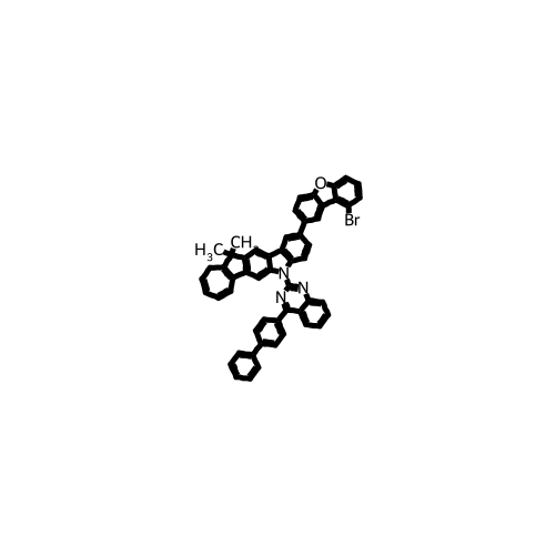 CC1(C)C2=C(C=CC=CC2)c2cc3c(cc21)c1cc(-c2ccc4oc5cccc(Br)c5c4c2)ccc1n3-c1nc(-c2ccc(-c3ccccc3)cc2)c2ccccc2n1